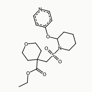 CCOC(=O)C1(CS(=O)(=O)N2CCCCC2Oc2ccncc2)CCOCC1